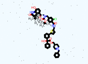 CC(C)(C)OC(=O)N(Cc1ccc(C(=O)NCc2ccc(-c3cccc(C(O)(C(=O)OCC4CCN(Cc5ccccc5)CC4)c4ccccc4)c3)s2)c(Cl)c1)C[C@H](O[Si](C)(C)C(C)(C)C)c1ccc(O)c2[nH]c(=O)ccc12